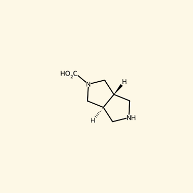 O=C(O)N1C[C@@H]2CNC[C@H]2C1